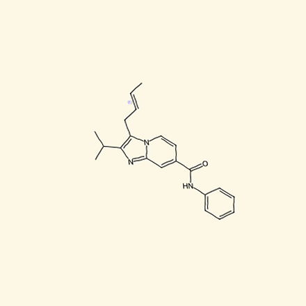 C/C=C/Cc1c(C(C)C)nc2cc(C(=O)Nc3ccccc3)ccn12